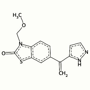 C=C(c1ccc2c(c1)sc(=O)n2COC)c1ccn[nH]1